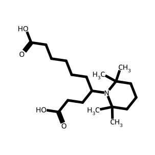 CC1(C)CCCC(C)(C)N1C(CCCCCC(=O)O)CCC(=O)O